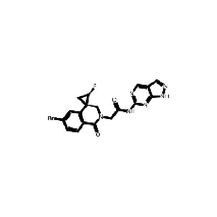 O=C(CN1C[C@]2(C[C@H]2F)c2cc(Br)ccc2C1=O)Nc1ncc2cn[nH]c2n1